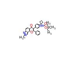 Cn1cc2c(ccc3c(=O)c(-c4ccc(C5(NC(=O)OC(C)(C)C)CCC5)cc4)c(-c4ccccc4)oc32)n1